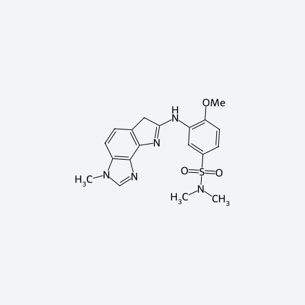 COc1ccc(S(=O)(=O)N(C)C)cc1NC1=Nc2c(ccc3c2ncn3C)C1